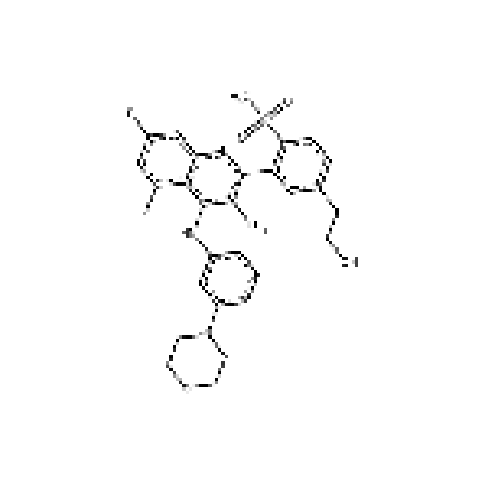 Cc1c(-c2cc(CCO)ccc2S(C)(=O)=O)nc2cc(F)cc(F)c2c1Nc1cncc(N2CCOCC2)c1